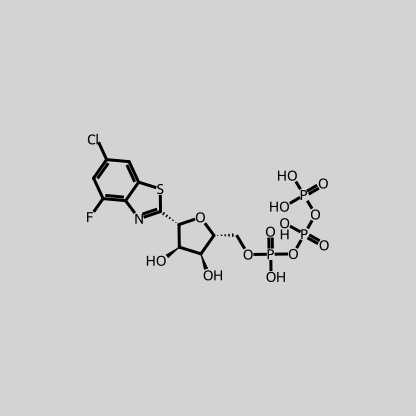 O=P(O)(O)OP(=O)(O)OP(=O)(O)OC[C@H]1O[C@@H](c2nc3c(F)cc(Cl)cc3s2)[C@H](O)[C@@H]1O